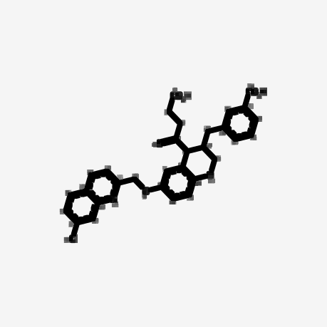 O=C(O)CCC(=S)C1c2cc(OCc3ccc4ccc(Cl)cc4n3)ccc2OCC1Cc1cccc(C(=O)O)c1